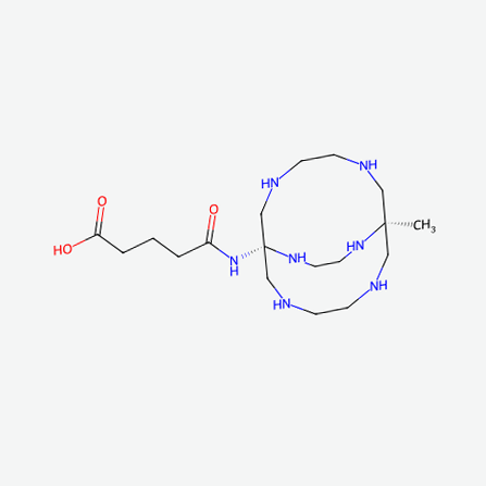 C[C@]12CNCCNC[C@](NC(=O)CCCC(=O)O)(CNCCNC1)NCCN2